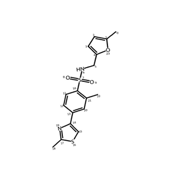 Cc1ccc(CNS(=O)(=O)c2ccc(-c3csc(C)n3)cc2C)o1